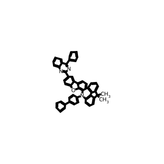 CC1(C)c2ccccc2-c2c(N(c3ccc(-c4ccccc4)cc3)c3cccc4c3oc3ccc(-c5nc(-c6ccccc6)c6ccccc6n5)cc34)cccc21